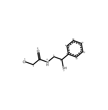 O=C(CCl)NCC(S)c1ccccc1